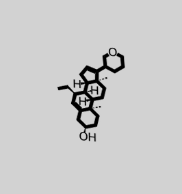 CC[C@@H]1C=C2C[C@@H](O)CC[C@]2(C)[C@H]2CC[C@]3(C)C(C4CCCOC4)=CC[C@H]3[C@H]12